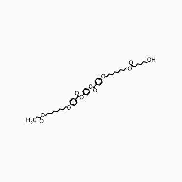 C=CC(=O)OCCCCCCCCOc1ccc(C(=O)Oc2ccc(OC(=O)c3ccc(OCCCCCCCCOC(=O)CCCCCO)cc3)cc2)cc1